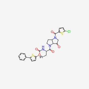 CC(C)CC(NC(=O)Oc1ccc(-c2ccccc2)s1)C(=O)N1CCC2C1C(=O)CN2C(=O)c1ccc(Cl)s1